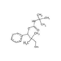 CC(C)(C)NC(=O)OC(c1ccccc1)C(C)(C)CO